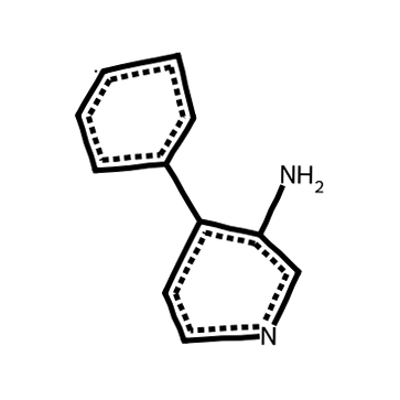 Nc1cnccc1-c1cc[c]cc1